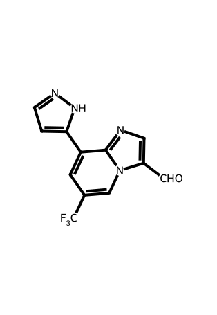 O=Cc1cnc2c(-c3ccn[nH]3)cc(C(F)(F)F)cn12